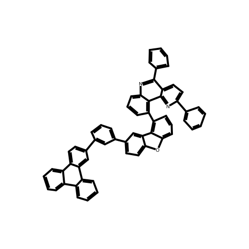 c1ccc(-c2ccc3c(-c4ccccc4)nc4cccc(-c5cccc6oc7ccc(-c8cccc(-c9ccc%10c%11ccccc%11c%11ccccc%11c%10c9)c8)cc7c56)c4c3n2)cc1